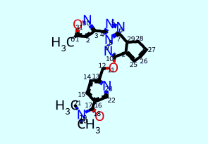 Cc1cc(-c2nnc3n2N=C(OCc2ccc(C(=O)N(C)C)cn2)C2=CC=CCC23)no1